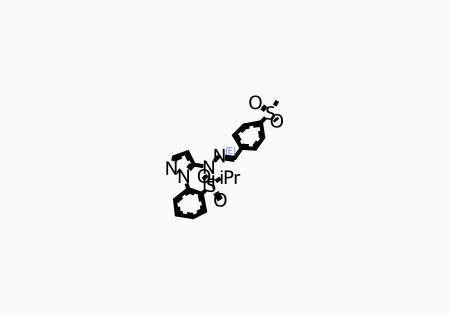 CC(C)S(=O)(=O)c1ccccc1-n1nccc1N/N=C/c1ccc(S(C)(=O)=O)cc1